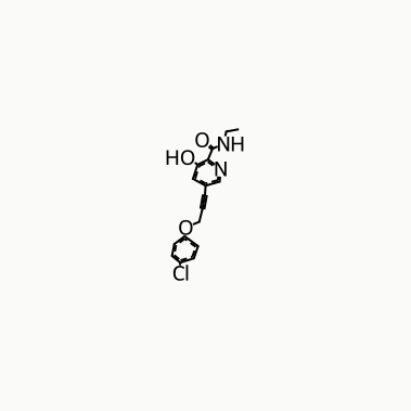 CCNC(=O)c1ncc(C#CCOc2ccc(Cl)cc2)cc1O